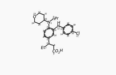 CCCN(c1ccc(C(CC)CC(=O)O)cc1Nc1ccc(Cl)cc1)C1CCOCC1